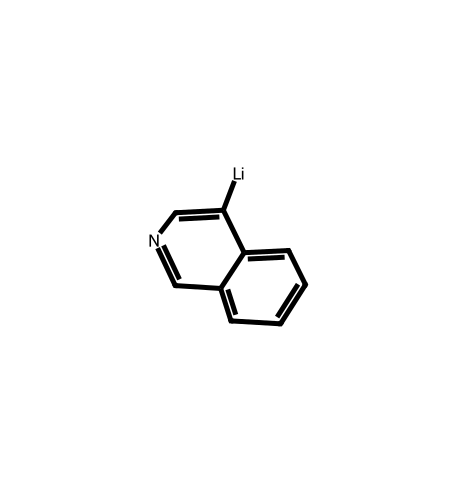 [Li][c]1cncc2ccccc12